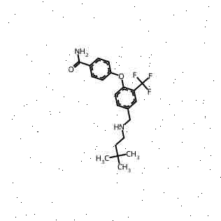 CC(C)(C)CCNCc1ccc(Oc2ccc(C(N)=O)cc2)c(C(F)(F)F)c1